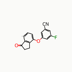 N#Cc1cc(F)cc(Oc2cc[c]c3c2CCC3=O)c1